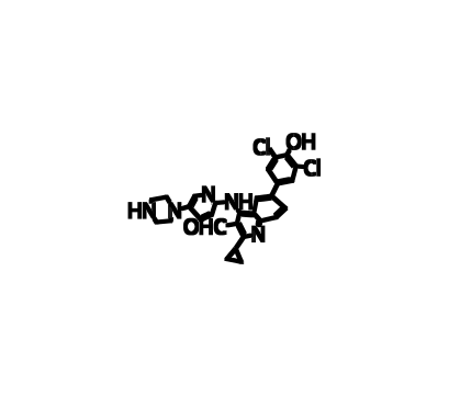 O=Cc1c(C2CC2)nc2ccc(-c3cc(Cl)c(O)c(Cl)c3)cc2c1Nc1ccc(N2CCNCC2)cn1